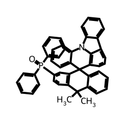 CC1(C)c2ccccc2C2(c3ccccc3-n3c4ccccc4c4cccc2c43)c2cc(P(=O)(c3ccccc3)c3ccccc3)ccc21